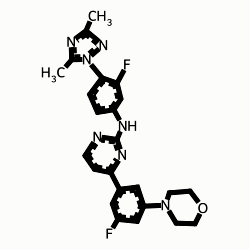 Cc1nc(C)n(-c2ccc(Nc3nccc(-c4cc(F)cc(N5CCOCC5)c4)n3)cc2F)n1